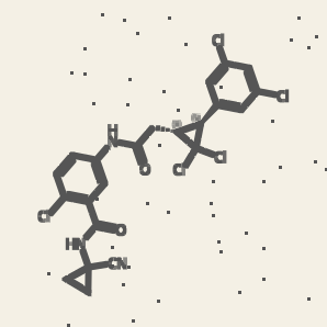 N#CC1(NC(=O)c2cc(NC(=O)C[C@@H]3[C@@H](c4cc(Cl)cc(Cl)c4)C3(Cl)Cl)ccc2Cl)CC1